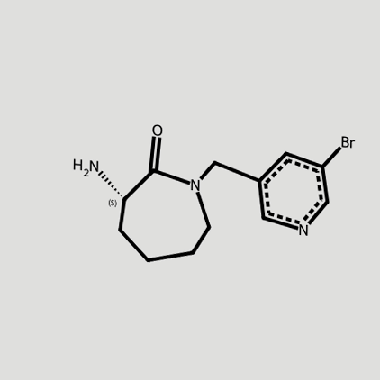 N[C@H]1CCCCN(Cc2cncc(Br)c2)C1=O